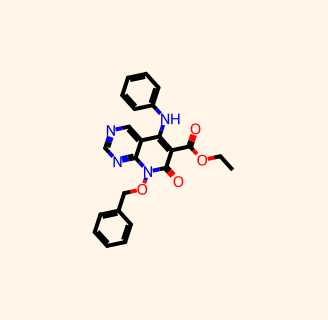 CCOC(=O)c1c(Nc2ccccc2)c2cncnc2n(OCc2ccccc2)c1=O